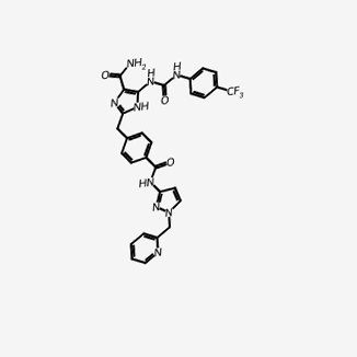 NC(=O)c1nc(Cc2ccc(C(=O)Nc3ccn(Cc4ccccn4)n3)cc2)[nH]c1NC(=O)Nc1ccc(C(F)(F)F)cc1